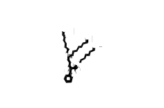 CCCCCCCCOC(=O)/C(=C\C=C\N(CCCCCCCC)CCCCCCCC)S(=O)(=O)c1ccccc1